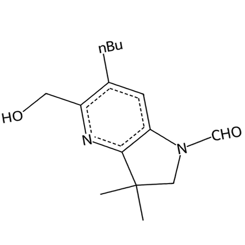 CCCCc1cc2c(nc1CO)C(C)(C)CN2C=O